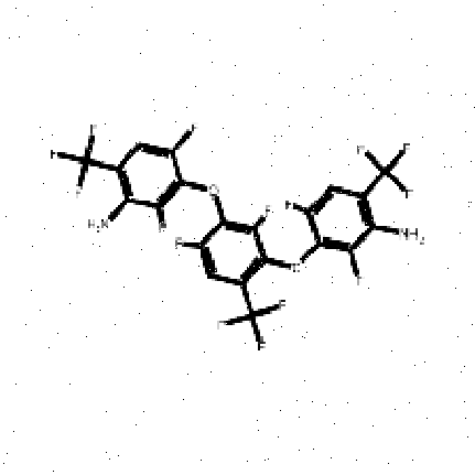 Nc1c(C(F)(F)F)cc(F)c(Oc2c(F)cc(C(F)(F)F)c(Oc3c(F)cc(C(F)(F)F)c(N)c3F)c2F)c1F